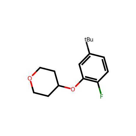 CC(C)(C)c1ccc(F)c(OC2CCOCC2)c1